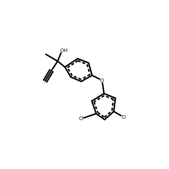 C#CC(C)(O)c1ccc(Oc2cc(Cl)cc(Cl)c2)cc1